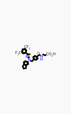 O=C(O)CCNC(=O)c1ccc(CN(c2ccc3c(c2)CCC3)c2nc(-c3cc(C(F)(F)F)cc(C(F)(F)F)c3)cs2)cc1